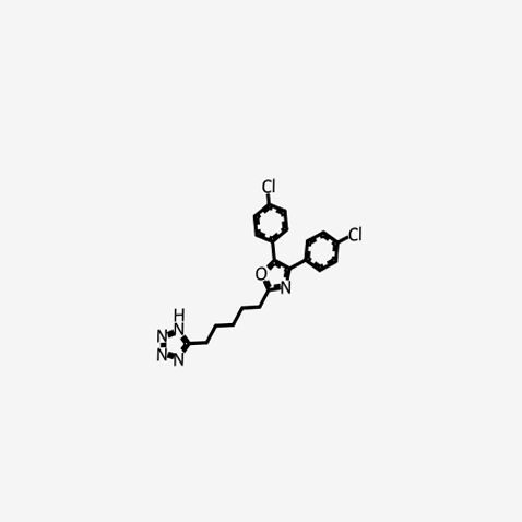 Clc1ccc(-c2nc(CCCCCc3nnn[nH]3)oc2-c2ccc(Cl)cc2)cc1